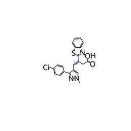 Cn1cc(/C=C(\CC(=O)O)c2nc3ccccc3s2)c(-c2ccc(Cl)cc2)n1